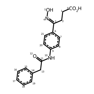 O=C(O)CCC(=NO)c1ccc(NC(=O)Cc2ccccc2)cc1